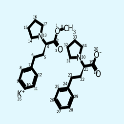 COC(=O)[C@@H](CCc1ccccc1)N1CCCC1.O=C([O-])[C@@H](CCc1ccccc1)N1CCCC1.[K+]